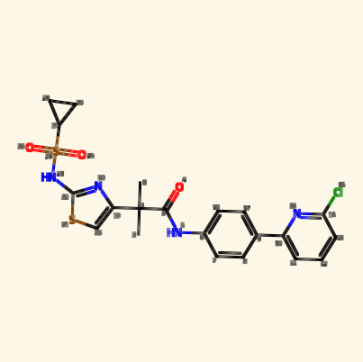 CC(C)(C(=O)Nc1ccc(-c2cccc(Cl)n2)cc1)c1csc(NS(=O)(=O)C2CC2)n1